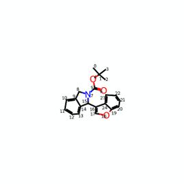 CC(C)(C)OC(=O)N1Cc2ccccc2C1c1coc2ccccc12